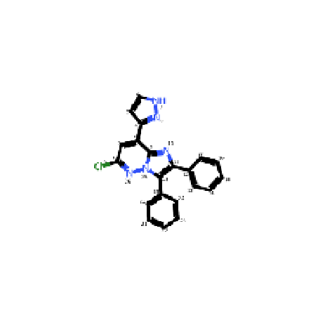 Clc1cc(-c2cc[nH]n2)c2nc(-c3cc[c]cc3)c(-c3ccccc3)n2n1